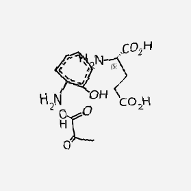 CC(=O)C(=O)O.N[C@@H](CCC(=O)O)C(=O)O.Nc1ccccc1O